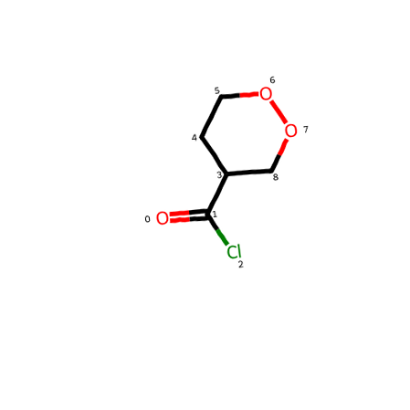 O=C(Cl)C1CCOOC1